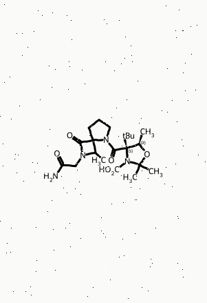 CC1N(CC(N)=O)C(=O)C12CCCN2C(=O)[C@]1(C(C)(C)C)[C@@H](C)OC(C)(C)N1C(=O)O